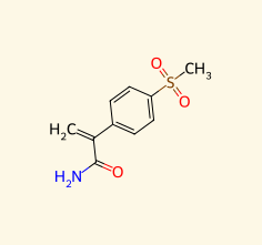 C=C(C(N)=O)c1ccc(S(C)(=O)=O)cc1